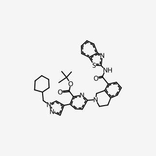 CC(C)(C)OC(=O)c1nc(N2CCc3cccc(C(=O)Nc4nc5ccccc5s4)c3C2)ccc1-c1cnn(CC2CCCCC2)c1